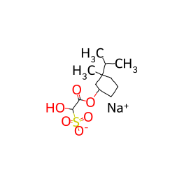 CC(C)C1(C)CCCC(OC(=O)C(O)S(=O)(=O)[O-])C1.[Na+]